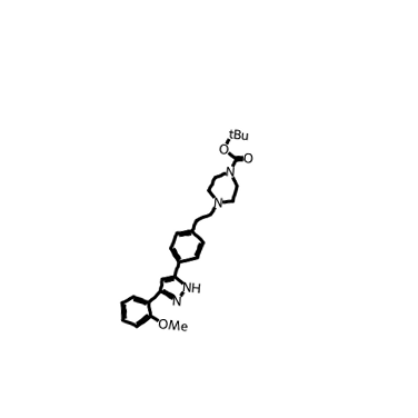 COc1ccccc1-c1cc(-c2ccc(CCN3CCN(C(=O)OC(C)(C)C)CC3)cc2)[nH]n1